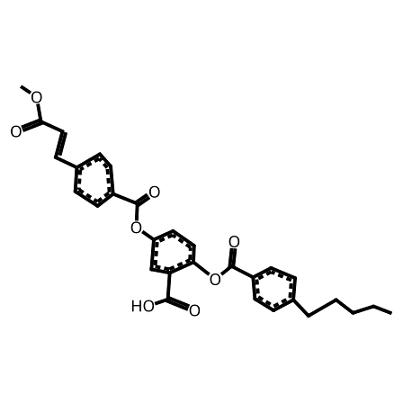 CCCCCc1ccc(C(=O)Oc2ccc(OC(=O)c3ccc(C=CC(=O)OC)cc3)cc2C(=O)O)cc1